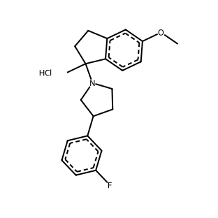 COc1ccc2c(c1)CCC2(C)N1CCC(c2cccc(F)c2)C1.Cl